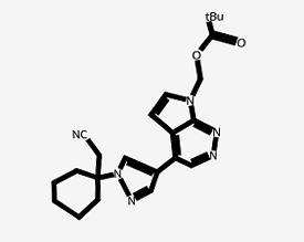 CC(C)(C)C(=O)OCn1ccc2c(-c3cnn(C4(CC#N)CCCCC4)c3)cnnc21